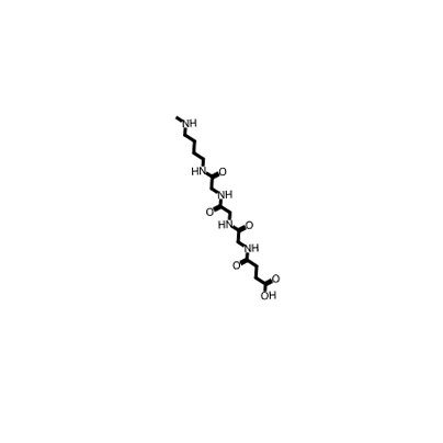 CNCCCCNC(=O)CNC(=O)CNC(=O)CNC(=O)CCC(=O)O